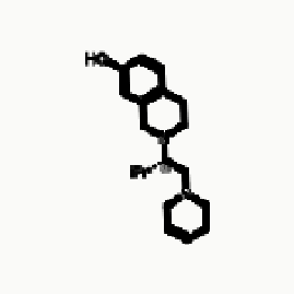 CC(C)[C@@H](CN1CC=CCC1)N1CCc2ccc(O)cc2C1